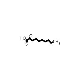 CCCCCCCCC(=O)C(O)=S